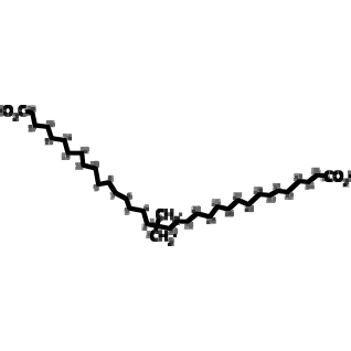 [CH2]C([CH2])(CCCCCCCCCCCCCCCCC(=O)O)CCCCCCCCCCCCCCCCC(=O)O